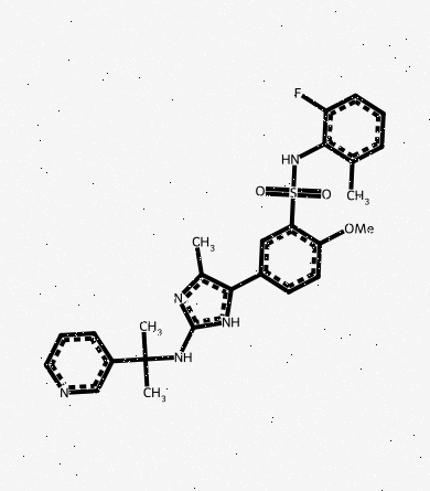 COc1ccc(-c2[nH]c(NC(C)(C)c3cccnc3)nc2C)cc1S(=O)(=O)Nc1c(C)cccc1F